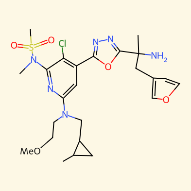 COCCN(CC1CC1C)c1cc(-c2nnc(C(C)(N)Cc3ccoc3)o2)c(Cl)c(N(C)S(C)(=O)=O)n1